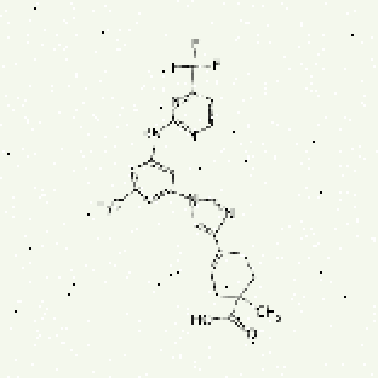 Cc1cc(Nc2nccc(C(F)(F)F)n2)cc(-n2cnc(C3=CCC(C)(C(=O)O)CC3)c2)c1